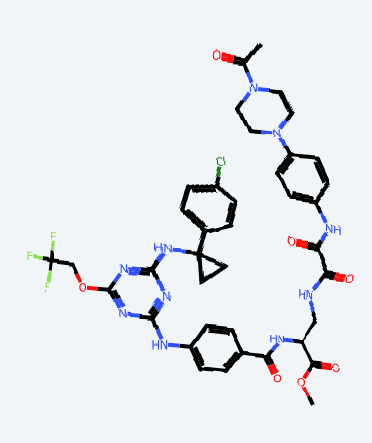 COC(=O)[C@H](CNC(=O)C(=O)Nc1ccc(N2CCN(C(C)=O)CC2)cc1)NC(=O)c1ccc(Nc2nc(NC3(c4ccc(Cl)cc4)CC3)nc(OCC(F)(F)F)n2)cc1